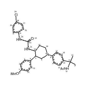 COc1ccc(C2CN(c3ccc(C(C)(C)NC(C)=O)nc3)CCC2NC(=O)Nc2ccc(Cl)cc2)nc1